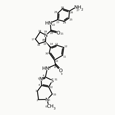 CN1CCc2nc(NC(=O)c3cccc([C@H]4CCCN4C(=O)Nc4ccc(N)cc4)c3)sc2C1